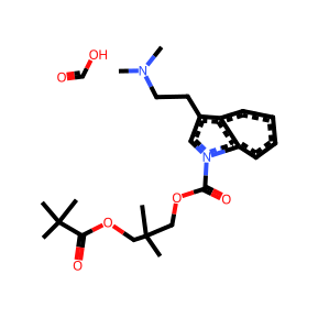 CN(C)CCc1cn(C(=O)OCC(C)(C)COC(=O)C(C)(C)C)c2ccccc12.O=CO